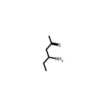 CCC(N)CC(C)=S